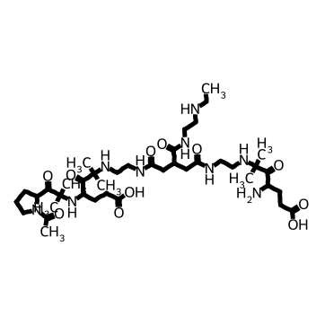 CCNCCNC(=O)C(CC(=O)NCCNC(C)(C)C(=O)C(N)CCC(=O)O)CC(=O)NCCNC(C)(C)C(=O)C(CCC(=O)O)NC(C)(C)C(=O)C1CCCN1C(C)=O